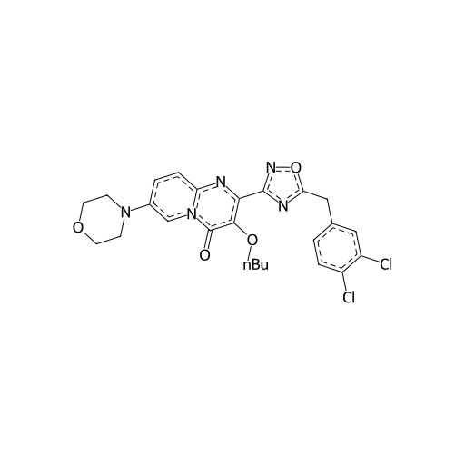 CCCCOc1c(-c2noc(Cc3ccc(Cl)c(Cl)c3)n2)nc2ccc(N3CCOCC3)cn2c1=O